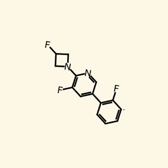 Fc1[c]cccc1-c1cnc(N2CC(F)C2)c(F)c1